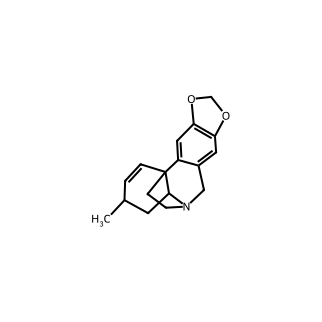 CC1C=CC23CCN(Cc4cc5c(cc42)OCO5)C3C1